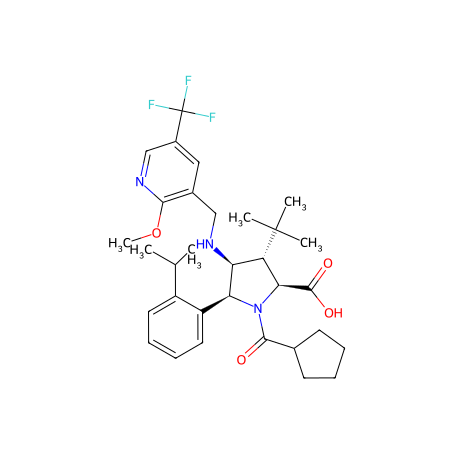 COc1ncc(C(F)(F)F)cc1CN[C@H]1[C@H](C(C)(C)C)[C@@H](C(=O)O)N(C(=O)C2CCCC2)[C@H]1c1ccccc1C(C)C